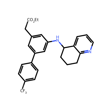 CCOC(=O)Cc1cc(NC2CCCc3ncccc32)cc(-c2ccc(C(F)(F)F)cc2)c1